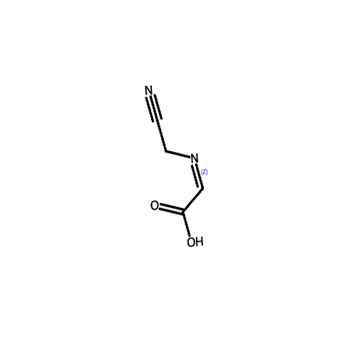 N#CC/N=C\C(=O)O